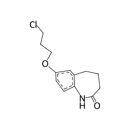 O=C1CCCc2cc(OCCCCl)ccc2N1